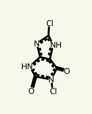 O=c1[nH]c2nc(Cl)[nH]c2c(=O)n1Cl